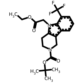 CCOC(=O)Cn1c2c(c3cccc(C(F)(F)F)c31)CN(C(=O)OC(C)(C)C)CC2